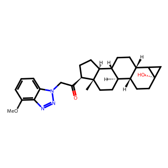 COc1cccc2c1nnn2CC(=O)[C@H]1CC[C@H]2[C@@H]3CC[C@@H]4C5C[C@@]5(O)CC[C@@H]4[C@H]3CC[C@]12C